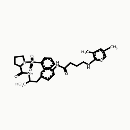 Cc1cnc(NCCCC(=O)Nc2ccc(CC(NC(=O)C3CCCN3S(=O)(=O)c3ccccc3)C(=O)O)cc2)c(C)c1